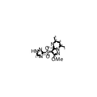 COc1nn2c(C)cc(C)nc2c1S(=O)(=O)c1nc[nH]n1